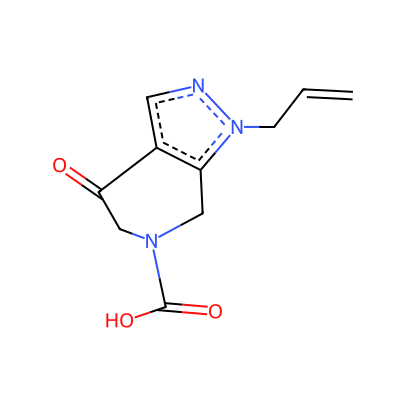 C=CCn1ncc2c1CN(C(=O)O)CC2=O